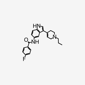 CCCN1CC=C(c2c[nH]c3ccc(NC(=O)c4ccc(F)cc4)cc23)CC1